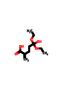 C=C(CCC(O)(OCC)OCC)C(=O)O